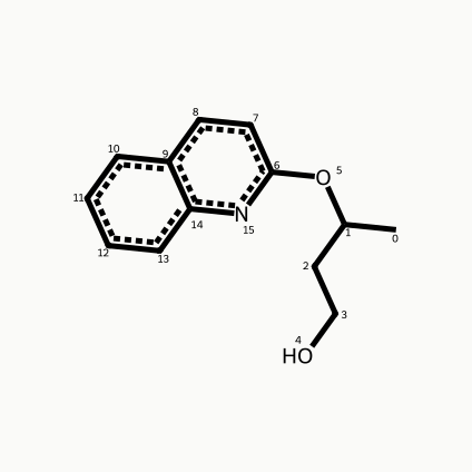 CC(CCO)Oc1ccc2ccccc2n1